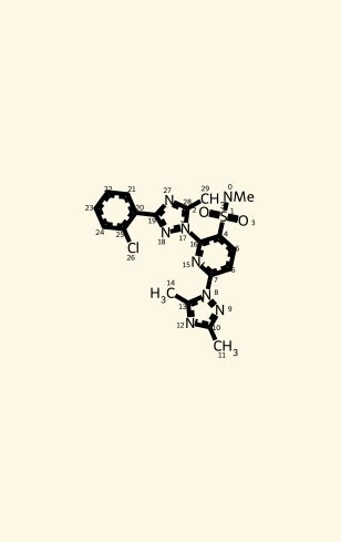 CNS(=O)(=O)c1ccc(-n2nc(C)nc2C)nc1-n1nc(-c2ccccc2Cl)nc1C